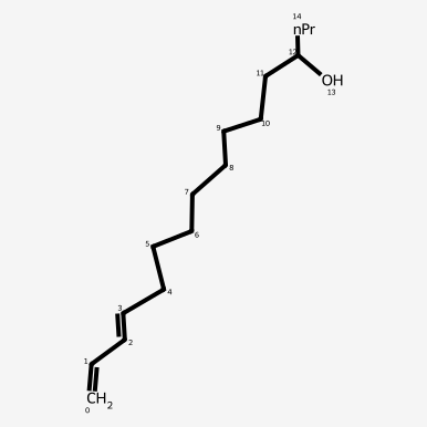 C=CC=CCCCCCCCCC(O)CCC